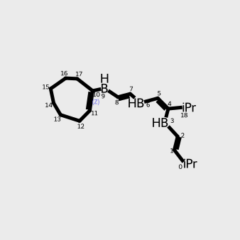 CC(C)C=CBC(=CBC=CB/C1=C/CCCCCC1)C(C)C